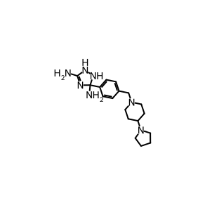 NC1=NC(N)(c2ccc(CN3CCC(N4CCCC4)CC3)cc2)NN1